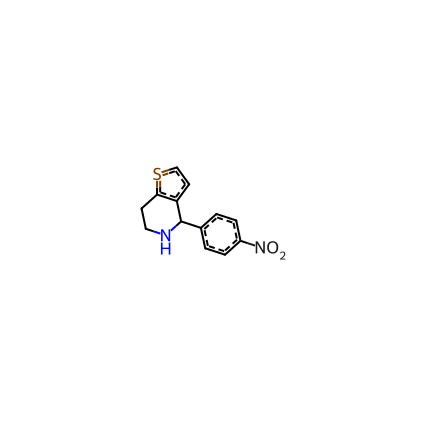 O=[N+]([O-])c1ccc(C2NCCc3sccc32)cc1